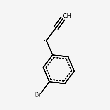 C#C[CH]c1cccc(Br)c1